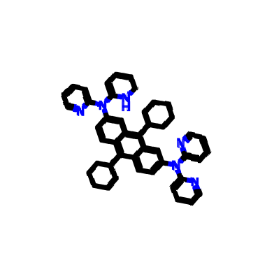 C1=CCNC(N(c2ccc3c(C4CCCCC4)c4ccc(N(c5ccccn5)c5ccccn5)cc4c(C4CCCCC4)c3c2)c2ccccn2)=C1